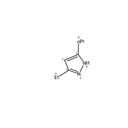 CCCc1cc(CC)n[nH]1